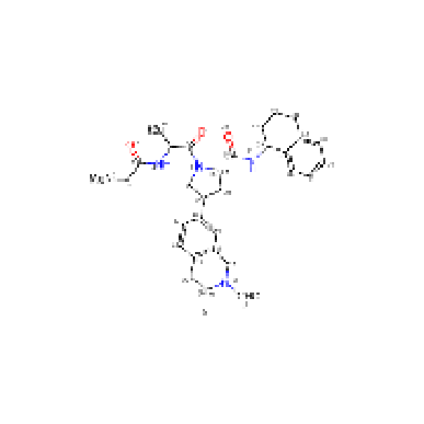 CNCC(=O)NC(C(=O)N1CC(c2ccc3c(c2)CN(C=O)[C@H](C)C3)C[C@H]1C(=O)NC1CCCc2ccccc21)C(C)(C)C